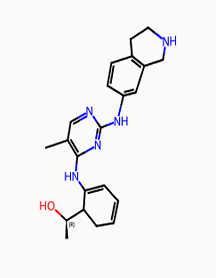 Cc1cnc(Nc2ccc3c(c2)CNCC3)nc1NC1=CC=CCC1[C@@H](C)O